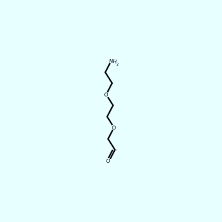 NCCOCCOC[C]=O